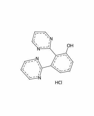 Cl.Oc1cccc(-c2ncccn2)c1-c1ncccn1